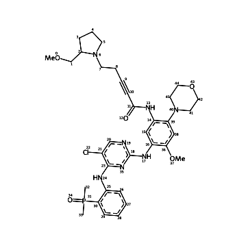 COCC1CCCN1CCC#CC(=O)Nc1cc(Nc2ncc(Cl)c(Nc3ccccc3P(C)(C)=O)n2)c(OC)cc1N1CCOCC1